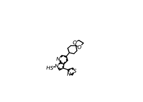 Sn1cc(-c2cscn2)c2cc(C3CCC4(CC3)OCCO4)cnc21